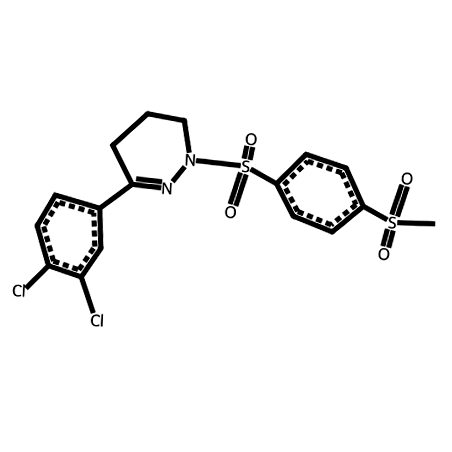 CS(=O)(=O)c1ccc(S(=O)(=O)N2CCCC(c3ccc(Cl)c(Cl)c3)=N2)cc1